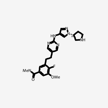 CNC(=O)c1cc(CCc2cnc(Nc3cnn([C@@H]4CCNC4)c3)nc2)c(F)c(OC)c1